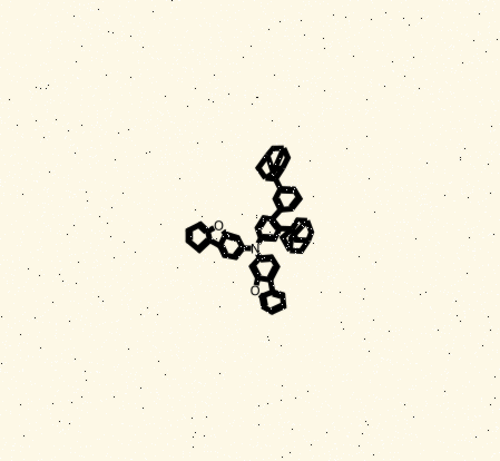 c1cc(-c2ccc(N(c3ccc4c(c3)oc3ccccc34)c3ccc4c(c3)oc3ccccc34)cc2C23CC4CC(CC(C4)C2)C3)cc(C2C3CC4CC(C3)CC2C4)c1